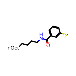 CCCCCCCCCCCCNC(=O)c1cccc([S])c1